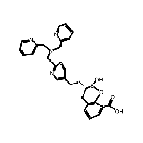 O=C(O)c1cccc2c1OB(O)[C@@H](SCc1ccc(CN(Cc3ccccn3)Cc3ccccn3)nc1)C2